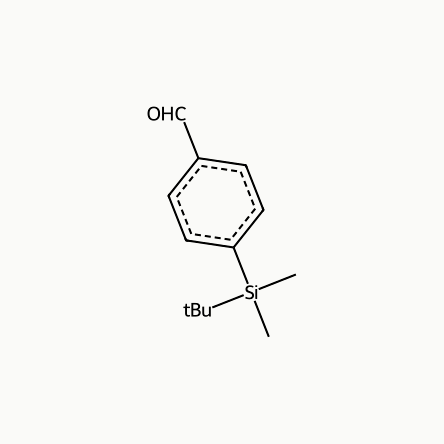 CC(C)(C)[Si](C)(C)c1ccc(C=O)cc1